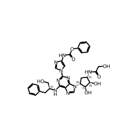 O=C(CO)N[C@H]1C[C@@H](n2cnc3c(N[C@H](CO)Cc4ccccc4)nc(-n4cnc(NC(=O)Oc5ccccc5)c4)nc32)[C@H](O)[C@@H]1O